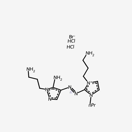 CCCn1cc[n+](CCCN)c1/N=N/c1cnn(CCCN)c1N.Cl.Cl.[Br-]